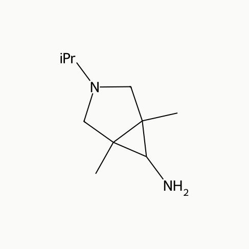 CC(C)N1CC2(C)C(N)C2(C)C1